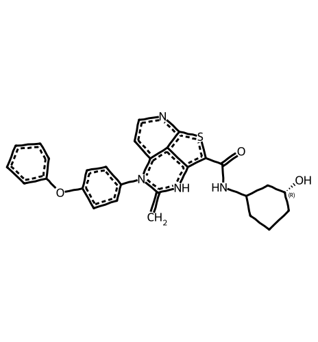 C=c1[nH]c2c(C(=O)NC3CCC[C@@H](O)C3)sc3nccc(c32)n1-c1ccc(Oc2ccccc2)cc1